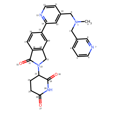 CN(Cc1cccnc1)Cc1ccnc(-c2ccc3c(c2)CN(C2CCC(=O)NC2=O)C3=O)c1